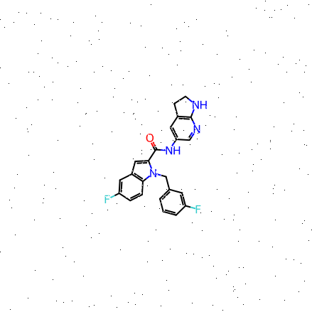 O=C(Nc1cnc2c(c1)CCN2)c1cc2cc(F)ccc2n1Cc1cccc(F)c1